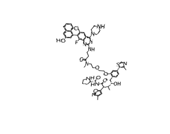 Cc1cc(C(C(=O)NC(=O)[C@@H]2CCCN2)C(C)C(O)Cc2ccc(-c3scnc3C)cc2OCCOCCN(C)C(=O)CCNc2nc(N3CCNCC3)c3cc(Cl)c(-c4cc(O)cc5ccccc45)c(F)c3n2)on1